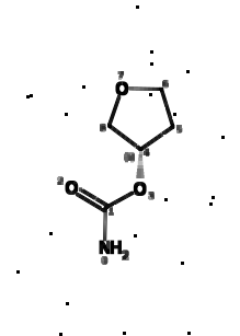 NC(=O)O[C@H]1CCOC1